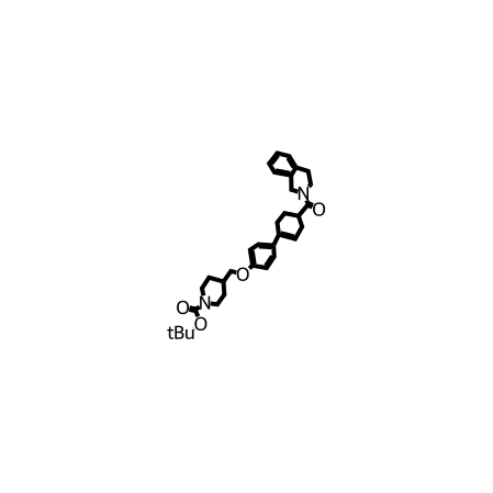 CC(C)(C)OC(=O)N1CCC(COc2ccc(C3=CCC(C(=O)N4CCc5ccccc5C4)CC3)cc2)CC1